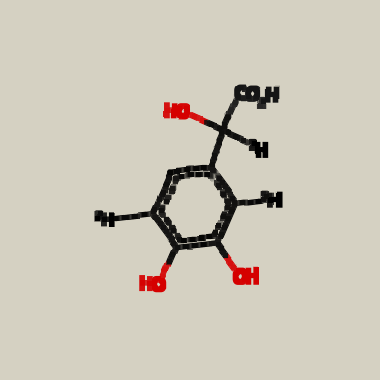 [2H]c1cc(C([2H])(O)C(=O)O)c([2H])c(O)c1O